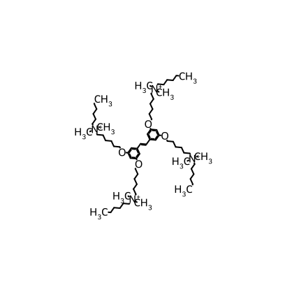 CCCCCC[N+](C)(C)CCCCCCOc1cc(/C=C/c2cc(OCCCCCC[N+](C)(C)CCCCCC)cc(OCCCCCC[N+](C)(C)CCCCCC)c2)cc(OCCCCCC[N+](C)(C)CCCCCC)c1